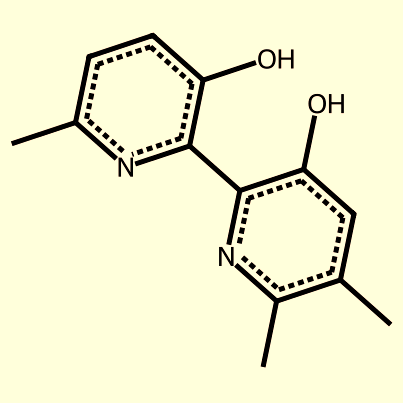 Cc1ccc(O)c(-c2nc(C)c(C)cc2O)n1